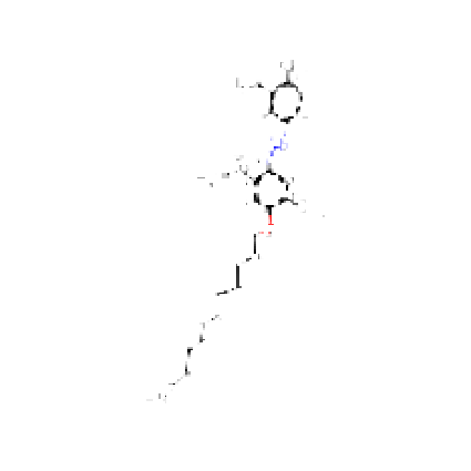 CCCCCCCCCCCCOc1cc(C(C)C)c(/N=N/c2ccc(C)c(C)c2)cc1C